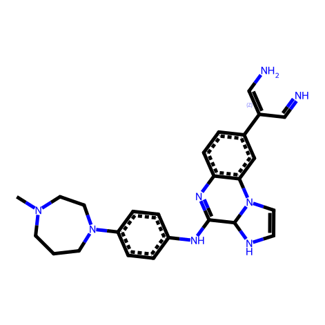 CN1CCCN(c2ccc(NC3=Nc4ccc(/C(C=N)=C/N)cc4N4C=CNC34)cc2)CC1